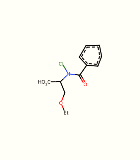 CCOCC(C(=O)O)N(Cl)C(=O)c1ccccc1